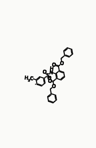 Cc1[c]ccc(S(=O)(=O)Nc2c(C(=O)OCc3ccccc3)cccc2C(=O)OCc2ccccc2)c1